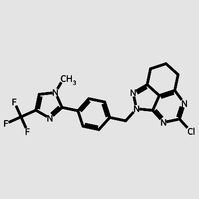 Cn1cc(C(F)(F)F)nc1-c1ccc(Cn2nc3c4c(nc(Cl)nc42)CCC3)cc1